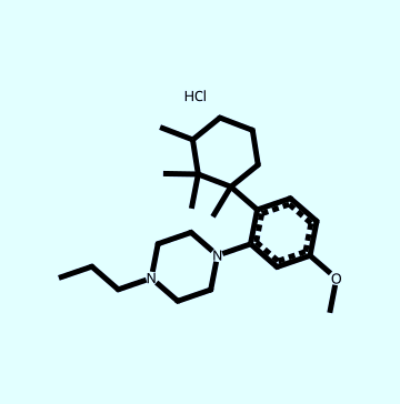 CCCN1CCN(c2cc(OC)ccc2C2(C)CCCC(C)C2(C)C)CC1.Cl